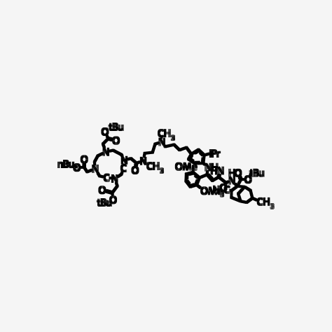 CCCCOC(=O)CN1CCN(CC(=O)OC(C)(C)C)CCN(CC(=O)N(C)CCCN(C)CCCCc2ccc(N/C(=C\C(=N)C(=O)NC3(C(=O)OC(C)(C)C)C(C)CC4CC(C)CC3C4)c3c(OC)cccc3OC)c(C(C)C)c2)CCN(CC(=O)OC(C)(C)C)CC1